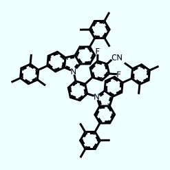 Cc1cc(C)c(-c2ccc3c(c2)c2ccc(-c4c(C)cc(C)cc4C)cc2n3-c2cccc(-n3c4ccc(-c5c(C)cc(C)cc5C)cc4c4ccc(-c5c(C)cc(C)cc5C)cc43)c2-c2cc(F)c(C#N)c(F)c2)c(C)c1